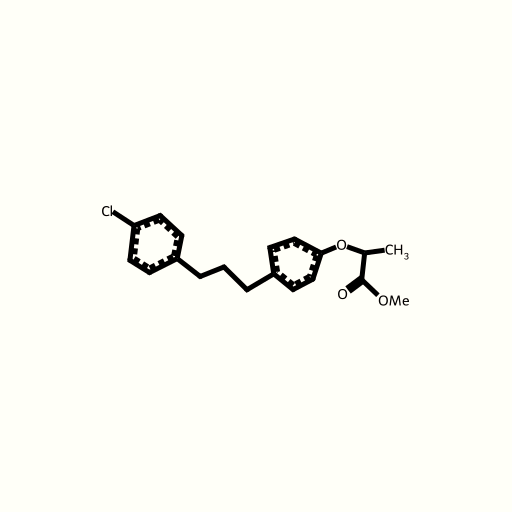 COC(=O)C(C)Oc1ccc(CCCc2ccc(Cl)cc2)cc1